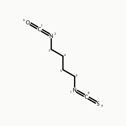 O=C=NCCCCN=C=S